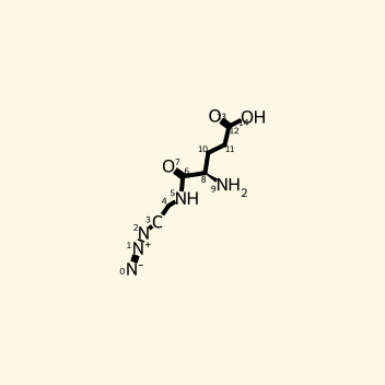 [N-]=[N+]=NCCNC(=O)[C@H](N)CCC(=O)O